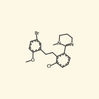 COc1ccc(Br)cc1CCc1c(Cl)cccc1C1=NCCCN1C